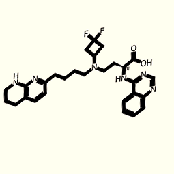 O=C(O)[C@H](CCN(CCCCc1ccc2c(n1)NCCC2)C1CC(F)(F)C1)Nc1ncnc2ccccc12